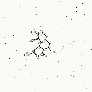 CCCCC(C)C(C)C(CC(=O)O)NC(=O)CN